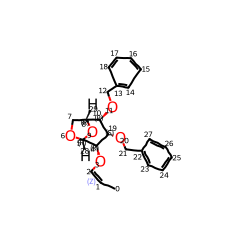 C/C=C\O[C@H]1[C@@H]2OC[C@@H](O2)[C@@H](OCc2ccccc2)[C@@H]1OCc1ccccc1